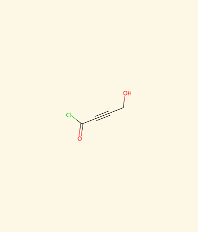 O=C(Cl)C#CCO